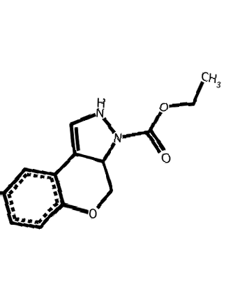 CCOC(=O)N1NC=C2c3ccccc3OCC21